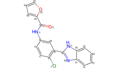 O=C(Nc1ccc(Cl)c(-c2nc3ccccc3[nH]2)c1)c1ccco1